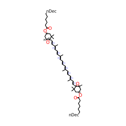 CCCCCCCCCCCCCCCC(=O)O[C@H]1CC(C)(C)[C@]2(/C=C/C(C)=C/C=C/C(C)=C/C=C/C=C(C)/C=C/C=C(C)/C=C/[C@@]34O[C@]3(C)C[C@@H](OC(=O)CCCCCCCCCCCCCCC)CC4(C)C)O[C@]2(C)C1